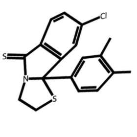 Cc1ccc(C23SCCN2C(=S)c2ccc(Cl)cc23)cc1C